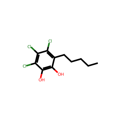 CCCCCc1c(O)c(O)c(Cl)c(Cl)c1Cl